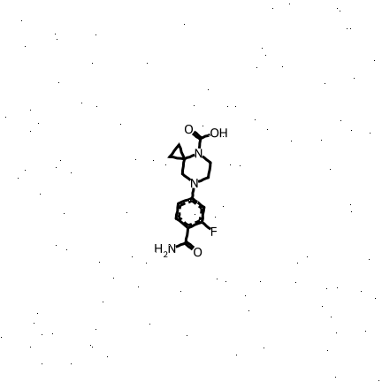 NC(=O)c1ccc(N2CCN(C(=O)O)C3(CC3)C2)cc1F